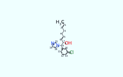 C/C=C/CC/C=C/C(O)C(c1cccc(Cl)c1)n1ccnc1